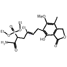 CCOP(=O)(OCC)C(C/C(=C/Cc1c(O)c2c(c(C)c1OC)COC2=O)CC)C(N)=O